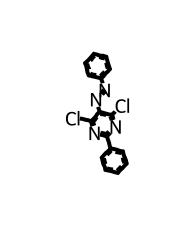 Clc1nc(-c2ccccc2)nc(Cl)c1/N=N/c1ccccc1